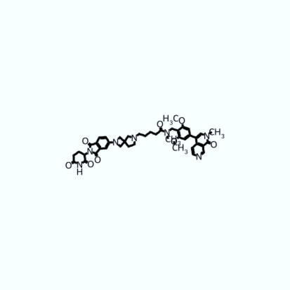 COc1cc(-c2cn(C)c(=O)c3cnccc23)cc(OC)c1CN(C)C(=O)CCCCN1CCC2(C1)CN(c1ccc3c(c1)C(=O)N(C1CCC(=O)NC1=O)C3=O)C2